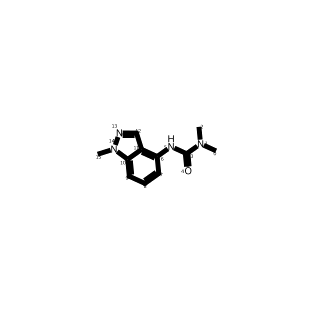 CN(C)C(=O)Nc1cccc2c1cnn2C